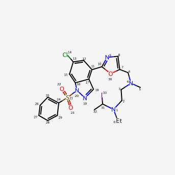 CCN(CCN(C)Cc1cnc(-c2cc(Cl)cc3c2cnn3S(=O)(=O)c2ccccc2)o1)C(C)I